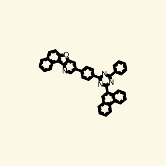 c1ccc(-c2nc(-c3ccc(-c4cnc5c(c4)oc4ccc6ccccc6c45)cc3)nc(-c3cc4ccccc4c4ccccc34)n2)cc1